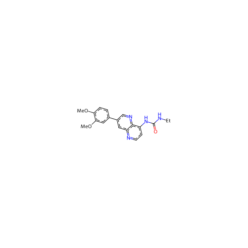 CCNC(=O)Nc1ccnc2cc(-c3ccc(OC)c(OC)c3)cnc12